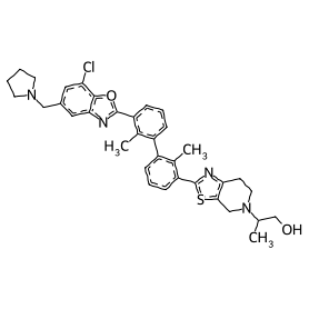 Cc1c(-c2nc3cc(CN4CCCC4)cc(Cl)c3o2)cccc1-c1cccc(-c2nc3c(s2)CN(C(C)CO)CC3)c1C